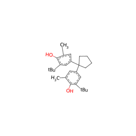 Cc1cc(C2(c3cc(C)c(O)c(C(C)(C)C)c3)CCCC2)cc(C(C)(C)C)c1O